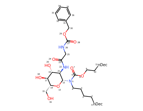 CCCCCCCCCCCCCCN(C(=O)OCCCCCCCCCCCC)[C@@H]1O[C@H](CO)[C@@H](O)[C@H](O)[C@H]1NC(=O)CNC(=O)OCc1ccccc1